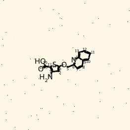 Nc1cc(OCc2ccc3ccccc3n2)sc1C(=O)O